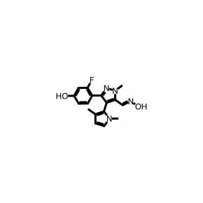 Cc1ccn(C)c1-c1c(-c2ccc(O)cc2F)nn(C)c1/C=N/O